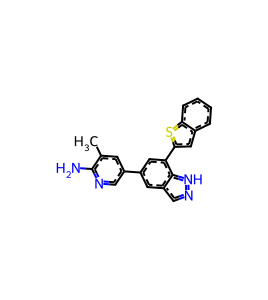 Cc1cc(-c2cc(-c3cc4ccccc4s3)c3[nH]ncc3c2)cnc1N